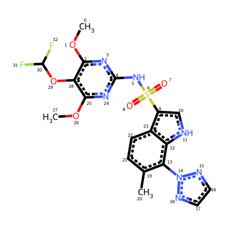 COc1nc(NS(=O)(=O)c2c[nH]c3c(-n4nccn4)c(C)ccc23)nc(OC)c1OC(F)F